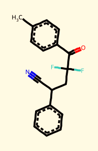 Cc1ccc(C(=O)C(F)(F)CC(C#N)c2ccccc2)cc1